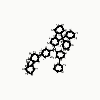 c1ccc(-c2cccc(N(c3ccc(-c4ccc5oc6ccccc6c5c4)cc3)c3ccc4c(c3)C(c3ccccc3)(c3ccccc3)c3ccccc3-4)c2)cc1